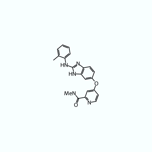 CNC(=O)c1cc(Oc2ccc3nc(Nc4ccccc4C)[nH]c3c2)ccn1